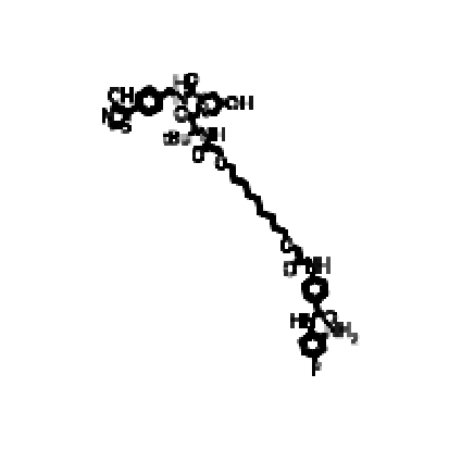 Cc1ncsc1-c1ccc(CNC(=O)[C@@H]2C[C@@H](O)CN2C(=O)[C@@H](NC(=O)COCCCCCCCCCOCC(=O)Nc2ccc(C(=O)Nc3ccc(F)cc3N)cc2)C(C)(C)C)cc1